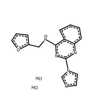 Cl.Cl.c1coc(CNc2nc(-n3ccnc3)nc3ccccc23)c1